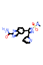 CN(C)S(=O)(=O)n1cc(-c2ccc3nc(C(N)=O)n[c]c3c2)c(-c2ccccn2)n1